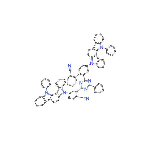 N#Cc1ccc(-n2c3ccccc3c3c2ccc2c4ccccc4n(-c4ccccc4)c23)cc1-c1nc(-c2ccccc2)nc(-c2cc(-n3c4ccccc4c4c3ccc3c5ccccc5n(-c5ccccc5)c34)ccc2-c2ccccc2C#N)n1